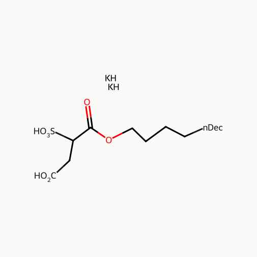 CCCCCCCCCCCCCCOC(=O)C(CC(=O)O)S(=O)(=O)O.[KH].[KH]